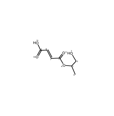 CC(CO)OC(=O)C=CC(=O)O